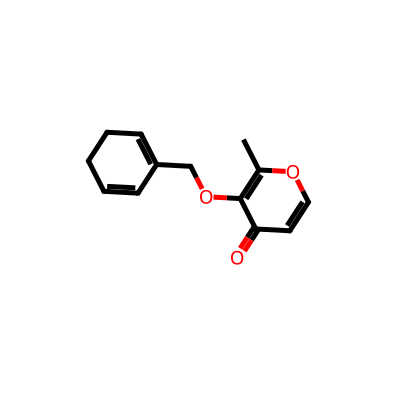 Cc1occc(=O)c1OCC1=CCCC=C1